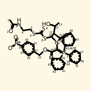 CC(=O)NCCSC(=S)SC1C(C(C)O)C(=O)N1C(C(=O)OCc1ccc([N+](=O)[O-])cc1)=P(c1ccccc1)(c1ccccc1)c1ccccc1